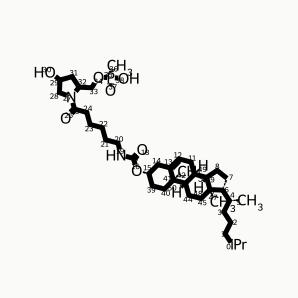 CC(C)CCC[C@@H](C)[C@H]1CC[C@H]2[C@@H]3CC=C4C[C@@H](OC(=O)NCCCCCC(=O)N5CC(O)CC5COP(C)(=O)O)CC[C@]4(C)[C@H]3CC[C@]12C